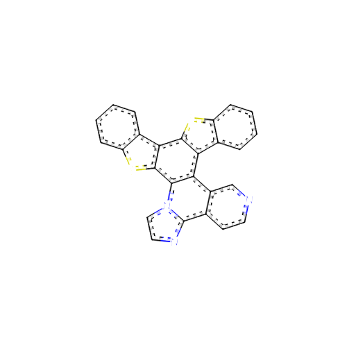 c1ccc2c(c1)sc1c2c2sc3ccccc3c2c2c3cnccc3c3nccn3c12